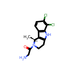 C[C@H]1c2c([nH]c3c(Cl)c(Cl)ccc23)CCN1C(=O)CN